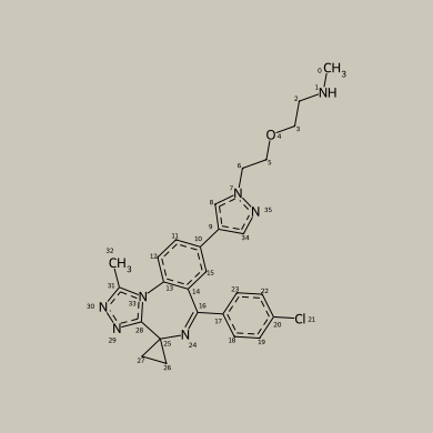 CNCCOCCn1cc(-c2ccc3c(c2)C(c2ccc(Cl)cc2)=NC2(CC2)c2nnc(C)n2-3)cn1